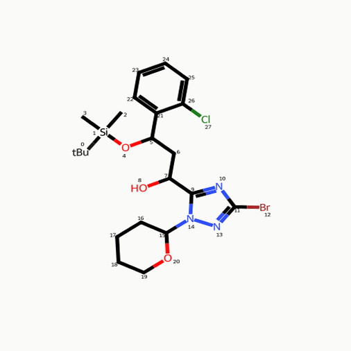 CC(C)(C)[Si](C)(C)OC(CC(O)c1nc(Br)nn1C1CCCCO1)c1ccccc1Cl